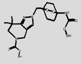 CC(C)(C)OC(=O)NC12CCC(Cn3cc4c(n3)C(C)(C)CN(C(=O)OC(C)(C)C)C4)(CC1)CC2